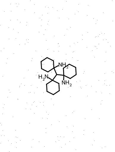 NC1(C(C2(N)CCCCC2)C2(N)CCCCC2)CCCCC1